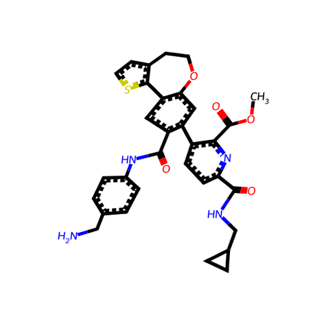 COC(=O)c1nc(C(=O)NCC2CC2)ccc1-c1cc2c(cc1C(=O)Nc1ccc(CN)cc1)-c1sccc1CCO2